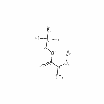 CCOC(C)C(=O)OCC(F)(F)CC